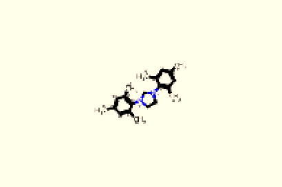 Cc1cc(C)c(N2CCN(c3c(C)cc(C)cc3C)C2)c(C)c1